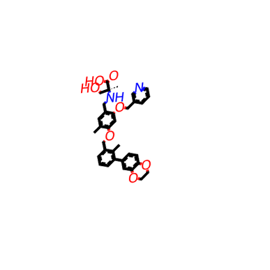 Cc1cc(CN[C@@](C)(CO)C(=O)O)c(OCc2cccnc2)cc1OCc1cccc(-c2ccc3c(c2)OCCO3)c1C